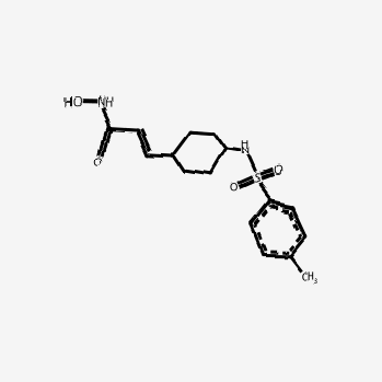 Cc1ccc(S(=O)(=O)NC2CCC(/C=C/C(=O)NO)CC2)cc1